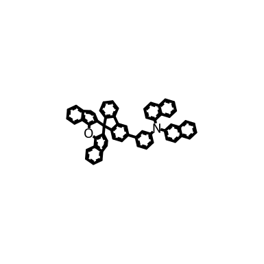 c1cc(-c2ccc3c(c2)-c2ccccc2C32c3ccc4ccccc4c3Oc3c2ccc2ccccc32)cc(N(c2ccc3ccccc3c2)c2cccc3ccccc23)c1